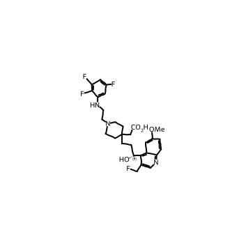 COc1ccc2ncc(CF)c([C@H](O)CCC3(CC(=O)O)CCN(CCNc4cc(F)cc(F)c4F)CC3)c2c1